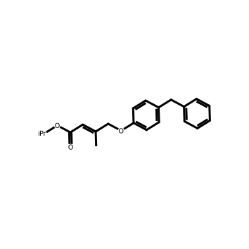 C/C(=C\C(=O)OC(C)C)COc1ccc(Cc2ccccc2)cc1